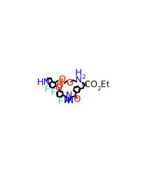 CCOC(=O)[C@H](C)Cc1cccc(C(=O)c2nc(-c3cc(Oc4c(F)c(F)c5[nH]ccc5c4CS(=O)(=O)CCOCCN)ccc3F)n(C)n2)c1